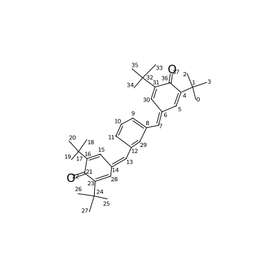 CC(C)(C)C1=CC(=Cc2cccc(C=C3C=C(C(C)(C)C)C(=O)C(C(C)(C)C)=C3)c2)C=C(C(C)(C)C)C1=O